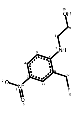 O=[N+]([O-])c1ccc(NCCO)c(CF)c1